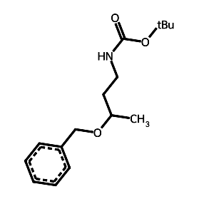 CC(CCNC(=O)OC(C)(C)C)OCc1ccccc1